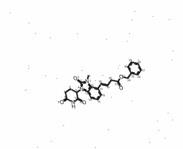 Cn1c(=O)n(C2CCC(=O)NC2=O)c2cccc(/C=C/CC(=O)OCc3ccccc3)c21